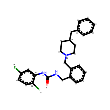 O=C(NCc1ccccc1CN1CCC(Cc2ccccc2)CC1)Nc1cc(F)ccc1F